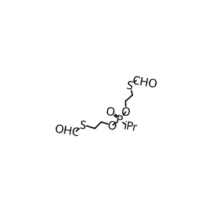 CC(C)P(=O)(OCCSC=O)OCCSC=O